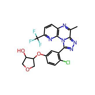 Cc1nc2ccc(C(F)(F)F)nc2n2c(-c3cc(OC4COCC4O)ccc3Cl)nnc12